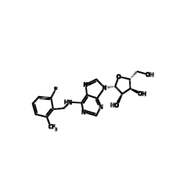 OC[C@H]1O[C@@H](n2cnc3c(NCc4c(F)cccc4C(F)(F)F)ncnc32)[C@H](O)[C@@H]1O